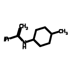 C=C(NC1CCC(C)CC1)C(C)C